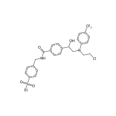 CCS(=O)(=O)c1ccc(CNC(=O)c2ccc(C(O)CN(CCCl)c3ccc(C(F)(F)F)cc3)cc2)cc1